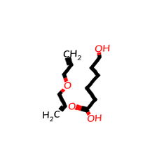 C=CCOCC=C.O=C(O)CCCCCO